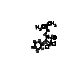 CN(C)CCN1C(=O)C(Cl)(Cl)C1c1ccccc1